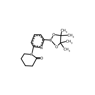 CC1(C)OB(c2cccc(N3CCCCC3=O)n2)OC1(C)C